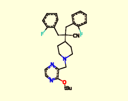 CC(C)(C)Oc1nccnc1CN1CCC(C(C#N)(Cc2ccccc2F)Cc2ccccc2F)CC1